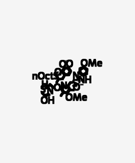 CCCCCCCC[S+]([O-])C(C)Cc1ccc2c(c1)OCO2.COc1ccc2[nH]c([S+]([O-])Cc3ncc(C)c(OC)c3C)nc2c1.O=C1C[C@H]2SCC(O)=CN12